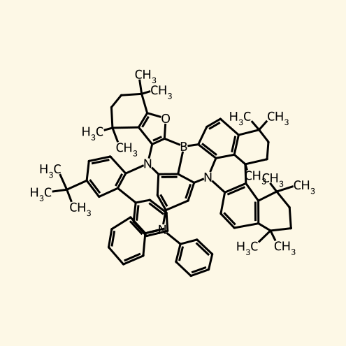 CC(C)(C)c1ccc(N2c3cc(N(c4ccccc4)c4ccccc4)cc4c3B(c3ccc5c6c3N4c3ccc4c(c3C6(C)CCC5(C)C)C(C)(C)CCC4(C)C)c3oc4c(c32)C(C)(C)CCC4(C)C)c(-c2ccccc2)c1